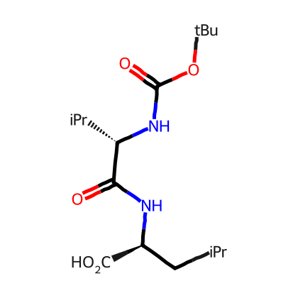 CC(C)C[C@H](NC(=O)[C@@H](NC(=O)OC(C)(C)C)C(C)C)C(=O)O